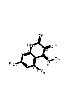 O=C1Nc2cc(C(F)(F)F)cc(C(F)(F)F)c2/C(=N/O)C1=O